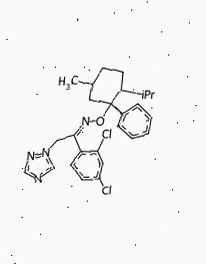 CC1CCC(C(C)C)C(ON=C(Cn2cncn2)c2ccc(Cl)cc2Cl)(c2ccccc2)C1